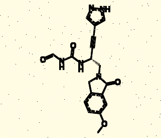 COc1ccc2c(c1)C(=O)N(C[C@@H](C#Cc1cn[nH]c1)NC(=O)NC=O)C2